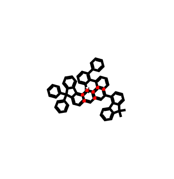 CC1(C)c2ccccc2-c2c(-c3ccc(N(c4cccc(-c5ccccc5)c4-c4ccccc4-c4ccccc4)c4cccc5c4-c4ccccc4C5(c4ccccc4)c4ccccc4)cc3)cccc21